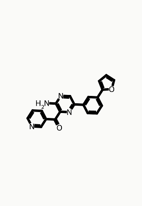 Nc1ncc(-c2cccc(-c3ccco3)c2)nc1C(=O)c1cccnc1